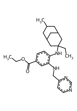 CCOC(=O)c1ccc(NC2(CC)CC3CC(C)CC(C3)C2)c(NCc2ccncn2)c1